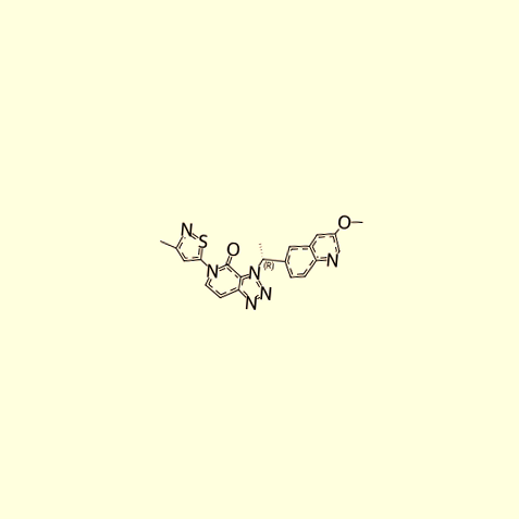 COc1cnc2ccc([C@@H](C)n3nnc4ccn(-c5cc(C)ns5)c(=O)c43)cc2c1